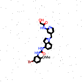 COc1ccc(Br)cc1NC(=O)Nc1cccc2c1ccn2Cc1ccnc(NC(=O)CO)c1